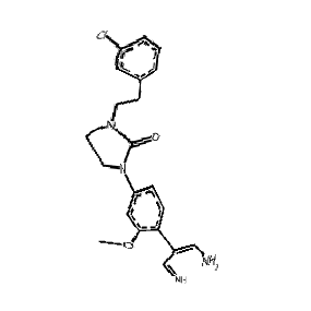 COc1cc(N2CCN(CCc3cccc(Cl)c3)C2=O)ccc1/C(C=N)=C/N